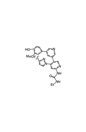 CCNC(=O)Nc1cc(-n2ccc(C(F)(F)F)n2)c(-c2cncc(-c3ccc(O)c(OC)c3)c2)cn1